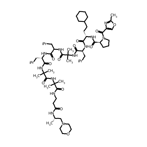 Cc1nc(C(=O)N2CCC[C@H]2C(=O)N[C@@H](CCC2CCCCC2)C(=O)N[C@@H](CC(C)C)C(=O)NC(C)(C)C(=O)NC(CC(C)C)C(=O)N[C@@H](CC(C)C)C(=O)NC(C)(C)C(=O)NC(C)(C)C(=O)NCCC(=O)N[C@@H](C)CN2CCOCC2)co1